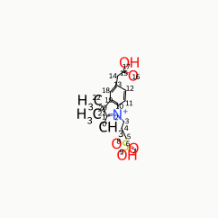 CC1=[N+](CCCS(=O)(=O)O)c2ccc(CC(=O)O)cc2C1(C)C